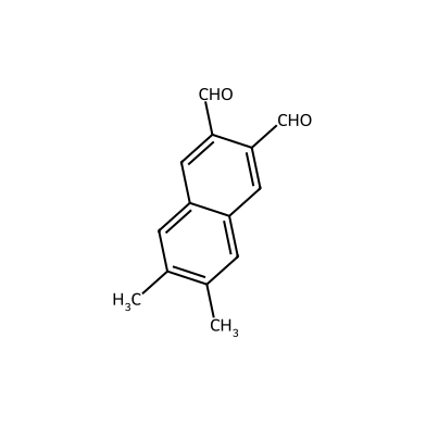 Cc1cc2cc(C=O)c(C=O)cc2cc1C